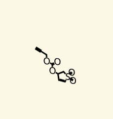 C#CCOC(=O)OC1C=CS(=O)(=O)C1